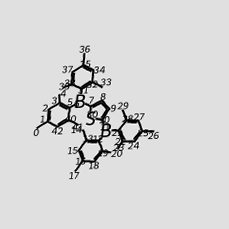 Cc1cc(C)c(B(C2=C=C=C(B(c3c(C)cc(C)cc3C)c3c(C)cc(C)cc3C)S2)c2c(C)cc(C)cc2C)c(C)c1